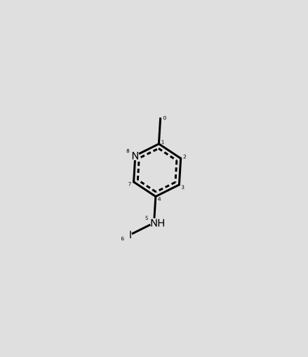 Cc1ccc(NI)cn1